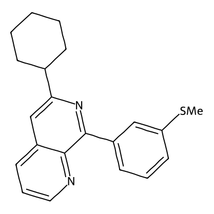 CSc1cccc(-c2nc(C3CCCCC3)cc3cccnc23)c1